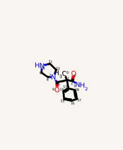 CC(C(N)=O)(C(=O)N1CCNCC1)c1ccccc1